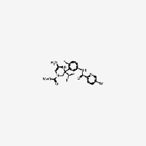 COC(=O)N1C=C(N)NC(c2cc(NC(=O)c3ccc(Br)cn3)ccc2F)(C(F)F)C1